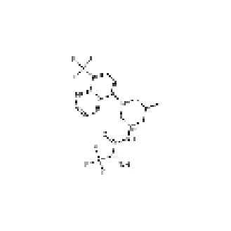 C[C@H]1C[C@@H](NC(=O)[C@H](N)C(F)(F)F)CN(c2ccc(C(F)(F)F)c3ncccc23)C1